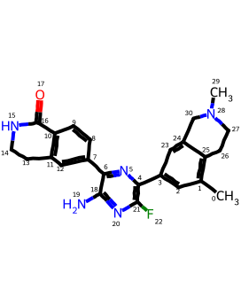 Cc1cc(-c2nc(-c3ccc4c(c3)CCNC4=O)c(N)nc2F)cc2c1CCN(C)C2